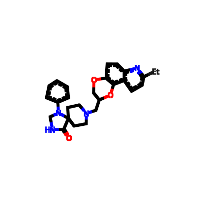 CCc1ccc2c3c(ccc2n1)OCC(CN1CCC2(CC1)C(=O)NCN2c1ccccc1)O3